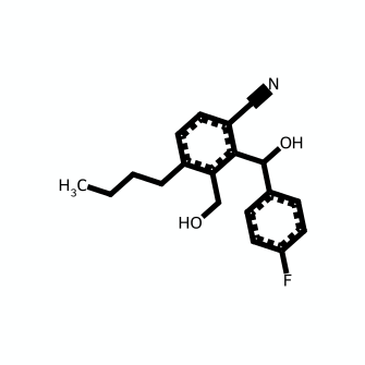 CCCCc1ccc(C#N)c(C(O)c2ccc(F)cc2)c1CO